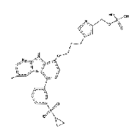 Cc1cnc2[nH]c3c(OCCCn4cnc(COP(=O)(O)O)c4)ccc(-c4cccc(S(=O)(=O)C5CC5)c4)c3c2c1